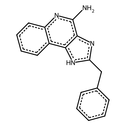 Nc1nc2ccccc2c2[nH]c(Cc3ccccc3)nc12